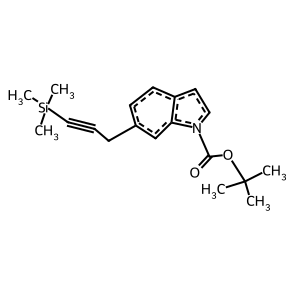 CC(C)(C)OC(=O)n1ccc2ccc(CC#C[Si](C)(C)C)cc21